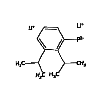 CC(C)c1cccc([P-2])c1C(C)C.[Li+].[Li+]